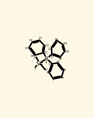 C[Si](C)(C)[B-](c1ccccc1)(c1ccccc1)c1ccccc1